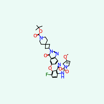 CO[C@H]1CCN(S(=O)(=O)Nc2ccc(F)c(Oc3ccc4ncn(C5CC6(CCN(C(=O)OC(C)(C)C)CC6)C5)c(=O)c4c3)c2C#N)C1